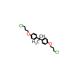 CC(C)(c1ccc(OCCCCl)cc1)c1ccc(OCCCCl)cc1